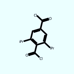 CC(C)c1cc(C(=O)Cl)cc(C(C)C)c1C(=O)Cl